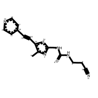 Cc1nc(NC(=O)NCCC#N)sc1C#Cc1ccncc1